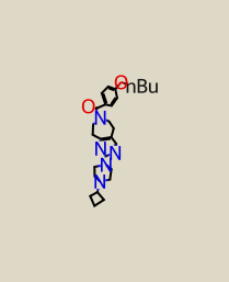 CCCCOc1ccc(C(=O)N2CCc3cnc(N4CCN(C5CCC5)CC4)nc3CC2)cc1